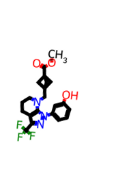 COC(=O)C12CC(CN3CCCc4c(C(F)(F)F)nn(-c5cccc(O)c5)c43)(C1)C2